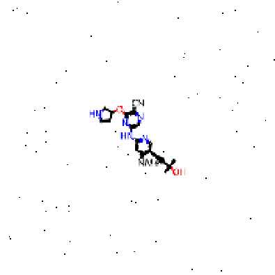 CNc1cc(Nc2cnc(C#N)c(OC3CCNC3)n2)ncc1C#CC(C)(C)O